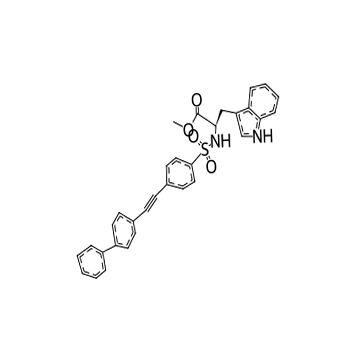 COC(=O)[C@@H](Cc1c[nH]c2ccccc12)NS(=O)(=O)c1ccc(C#Cc2ccc(-c3ccccc3)cc2)cc1